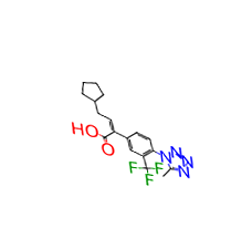 Cc1nnnn1-c1ccc(C(=CCC2CCCC2)C(=O)O)cc1C(F)(F)F